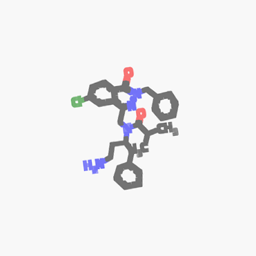 CC(C)C(=O)N(Cc1nn(Cc2ccccc2)c(=O)c2ccc(Cl)cc12)C(CCN)Cc1ccccc1